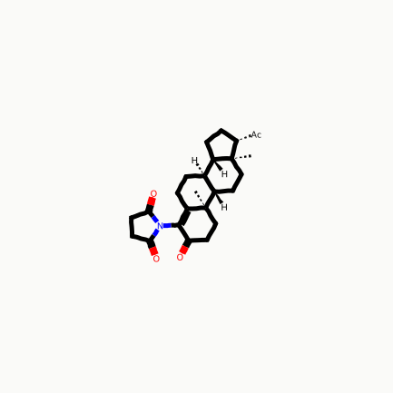 CC(=O)[C@H]1CC[C@H]2[C@@H]3CCC4=C(N5C(=O)CCC5=O)C(=O)CC[C@]4(C)[C@H]3CC[C@]12C